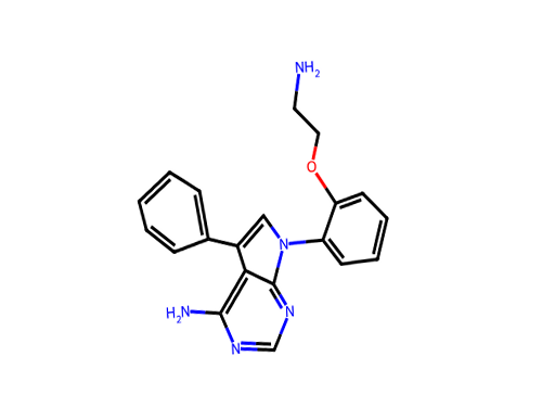 NCCOc1ccccc1-n1cc(-c2ccccc2)c2c(N)ncnc21